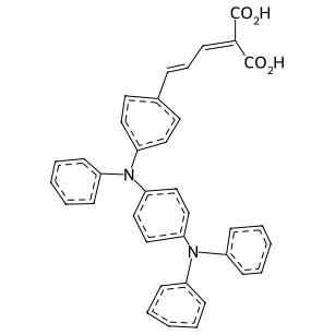 O=C(O)C(=C/C=C/c1ccc(N(c2ccccc2)c2ccc(N(c3ccccc3)c3ccccc3)cc2)cc1)C(=O)O